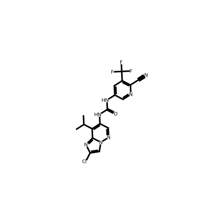 CC(C)c1c(NC(=O)Nc2cnc(C#N)c(C(F)(F)F)c2)cnn2cc(Cl)nc12